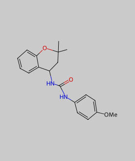 COc1ccc(NC(=O)NC2CC(C)(C)Oc3ccccc32)cc1